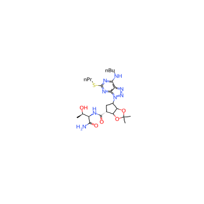 CCCCNc1nc(SCCC)nc2c1nnn2C1C[C@@H](C(=O)N[C@@H](C(N)=O)[C@@H](C)O)C2OC(C)(C)OC21